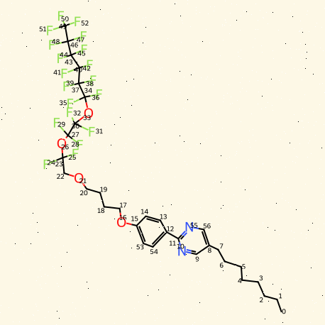 CCCCCCCCc1cnc(-c2ccc(OCCCCOCC(F)(F)OC(F)(F)C(F)(F)OC(F)(F)C(F)(F)C(F)(F)C(F)(F)C(F)(F)C(F)(F)F)cc2)nc1